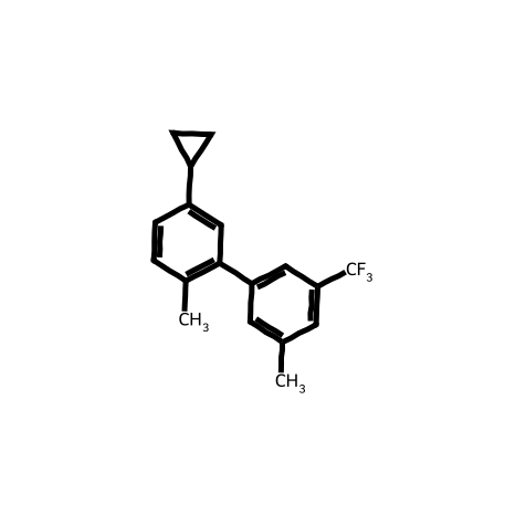 Cc1cc(-c2cc(C3CC3)ccc2C)cc(C(F)(F)F)c1